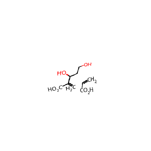 C=C(C(=O)O)C(O)CCO.C=CC(=O)O